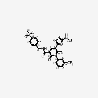 CCNc1nnc(-c2cc(C(=O)NCc3ccc(S(C)(=O)=O)cc3)c(=O)n(-c3cccc(C(F)(F)F)c3)c2C)o1